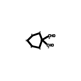 O=CC1(C=O)C[CH]CCC1